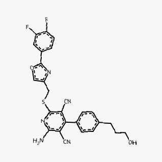 N#Cc1c(N)nc(SCc2coc(-c3ccc(F)c(F)c3)n2)c(C#N)c1-c1ccc(CCCO)cc1